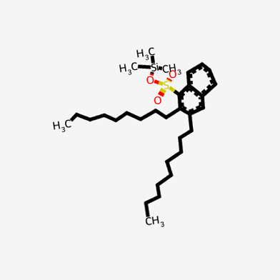 CCCCCCCCCc1cc2ccccc2c(S(=O)(=O)O[Si](C)(C)C)c1CCCCCCCCC